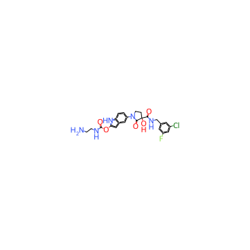 NCCNC(=O)Oc1cc2cc(N3CC[C@](O)(C(=O)NCc4cc(F)cc(Cl)c4)C3=O)ccc2[nH]1